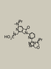 CC(C)[C@H]1COCc2nnc(-c3cccc(N4Cc5c(cc(N(C)C(C)C)nc5CN(C)C(=O)O)C4=O)n3)n21